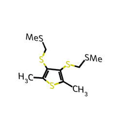 CSCSc1c(C)sc(C)c1SCSC